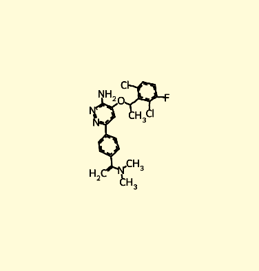 C=C(c1ccc(-c2cc(OC(C)c3c(Cl)ccc(F)c3Cl)c(N)nn2)cc1)N(C)C